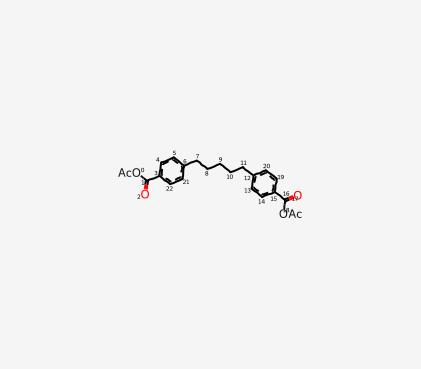 CC(=O)OC(=O)c1ccc(CCCCCc2ccc(C(=O)OC(C)=O)cc2)cc1